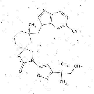 CC1(Cn2cnc3ccc(C#N)cc32)CCC[C@@]2(CN(c3cc(C(C)(C)CO)no3)C(=O)O2)C1